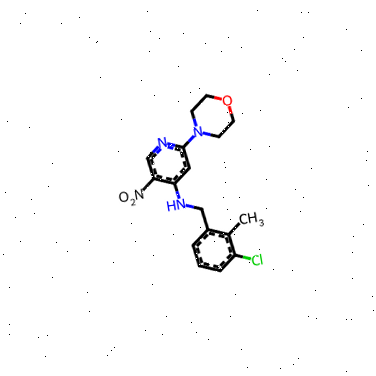 Cc1c(Cl)cccc1CNc1cc(N2CCOCC2)ncc1[N+](=O)[O-]